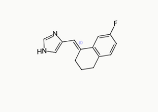 Fc1ccc2c(c1)/C(=C/c1c[nH]cn1)CCC2